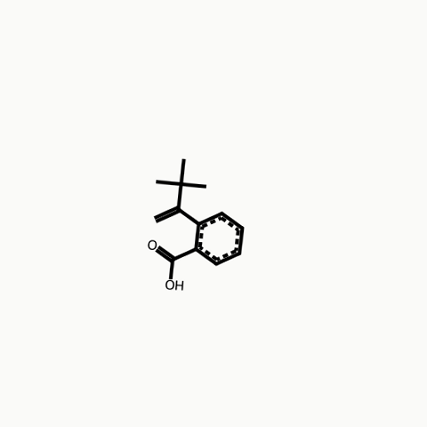 C=C(c1ccccc1C(=O)O)C(C)(C)C